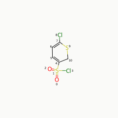 O=S(=O)(Cl)C1=CC=C(Cl)SC1